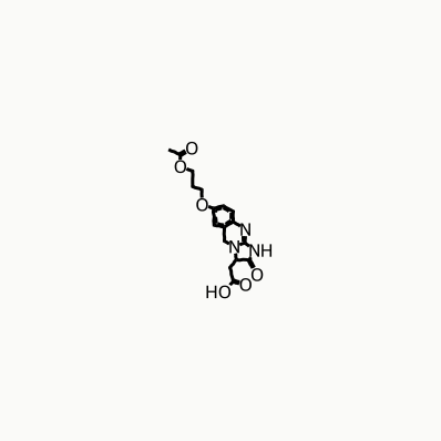 CC(=O)OCCCOc1ccc2c(c1)CN1C(=N2)NC(=O)C1CC(=O)O